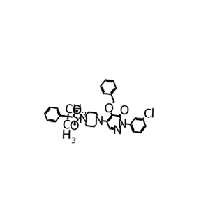 CC(C)(c1ccccc1)S(=O)(=O)N1CCN(c2cnn(-c3cccc(Cl)c3)c(=O)c2OCc2ccccc2)CC1